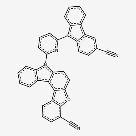 N#Cc1ccc2c(c1)c1ccccc1n2-c1cccc(-n2c3ccccc3c3c4c(ccc32)oc2c(C#N)cccc24)n1